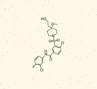 COC1(CCO)CCN(S(=O)(=O)c2cc(C(=O)Nc3ccc(F)c(Cl)c3)ccc2Cl)CC1